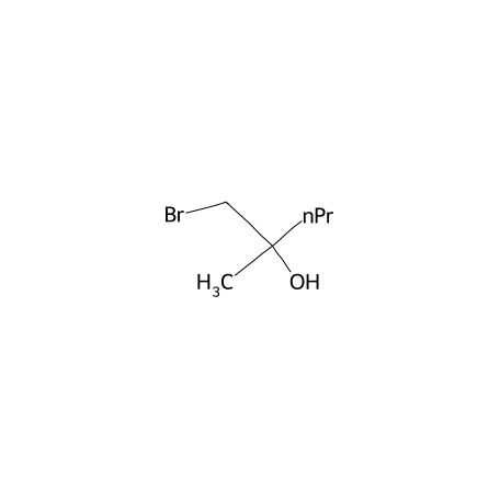 CCCC(C)(O)CBr